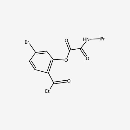 CCC(=O)c1ccc(Br)cc1OC(=O)C(=O)NC(C)C